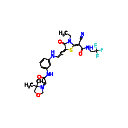 CCn1c(=O)c(=C=CNc2cccc(NC(=O)CN3COCC3(C)C)c2)s/c1=C(/C#N)C(=O)NCC(F)(F)F